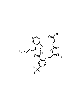 CCCCn1c(=NC(=O)c2cc(C(F)(F)F)ccc2OC[C@H](C)OC(=O)CCC(=O)O)sc2ccncc21